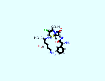 NCCCCC(N)C(=O)O.N[C@@H](C(=O)N[C@@H]1C(=O)N2C(C(=O)O)=C(Cl)CS[C@H]12)c1ccccc1.O